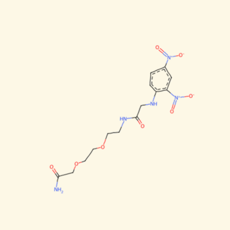 NC(=O)COCCOCCNC(=O)CNc1ccc([N+](=O)[O-])cc1[N+](=O)[O-]